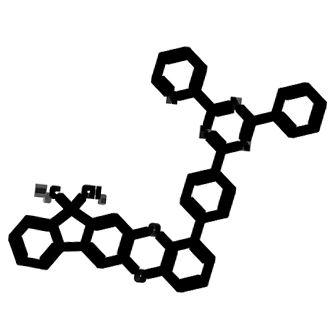 CC1(C)c2ccccc2-c2cc3c(cc21)Oc1c(cccc1-c1ccc(-c2nc(-c4ccccc4)nc(-c4ccccn4)n2)cc1)O3